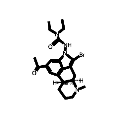 CCN(CC)C(=O)Nn1c(Br)c2c3c(cc(C(C)=O)cc31)[C@H]1CCCN(C)[C@@H]1C2